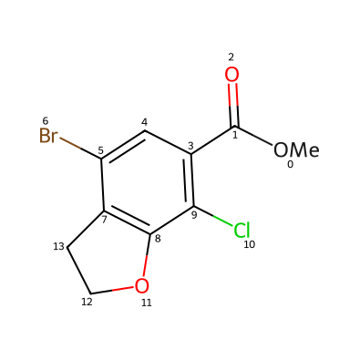 COC(=O)c1cc(Br)c2c(c1Cl)OCC2